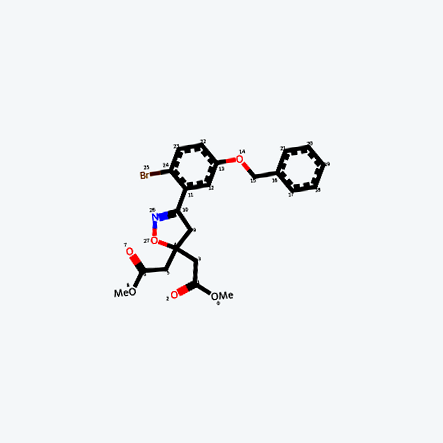 COC(=O)CC1(CC(=O)OC)CC(c2cc(OCc3ccccc3)ccc2Br)=NO1